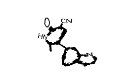 Cc1[nH]c(=O)c(C#N)cc1-c1ccc2cccnc2c1